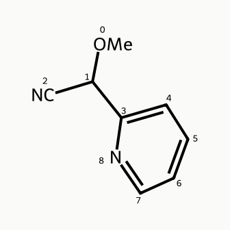 COC(C#N)c1ccccn1